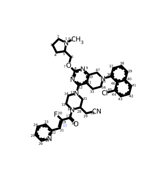 CN1CCCC1COc1nc2c(c(N3CCN(C(=O)/C(F)=C/c4ccccn4)C(CC#N)C3)n1)CCN(c1cccc3cccc(Cl)c13)C2